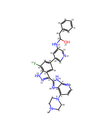 CN1CCN(c2ccnc3[nH]c(-c4n[nH]c5c(F)cc(-c6cncc(NC(O)Cc7ccccc7)c6)cc45)nc23)CC1